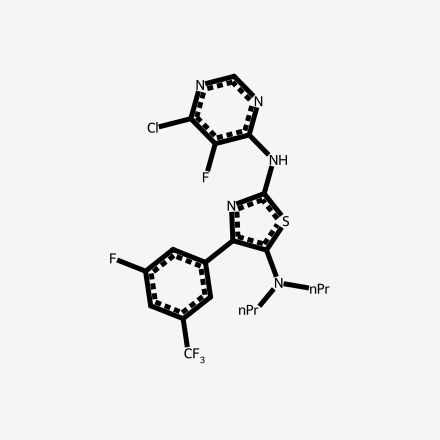 CCCN(CCC)c1sc(Nc2ncnc(Cl)c2F)nc1-c1cc(F)cc(C(F)(F)F)c1